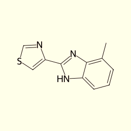 Cc1cccc2[nH]c(-c3cscn3)nc12